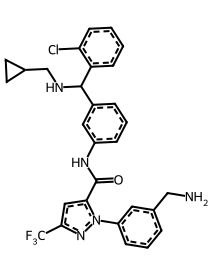 NCc1cccc(-n2nc(C(F)(F)F)cc2C(=O)Nc2cccc(C(NCC3CC3)c3ccccc3Cl)c2)c1